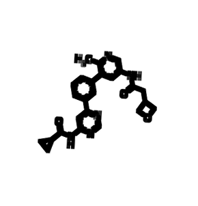 Cc1ncc(NC(=O)CC2COC2)cc1-c1cccc(-c2cc(NC(=O)C3CC3)ncn2)c1